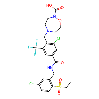 CCS(=O)(=O)c1ccc(Cl)cc1CNC(=O)c1cc(Cl)c(CN2CCON(C(=O)O)CC2)c(C(F)(F)F)c1